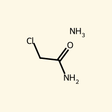 N.NC(=O)CCl